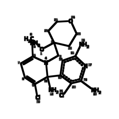 COC1(CN2C(N)=CC=C(Cl)C2(N)c2cc(N)nc(N)c2Cl)CCOCC1